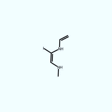 C=CN/C(I)=C\NC